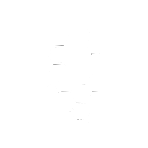 CCOC(=O)CSC1=C/C(=N\S(=O)(=O)Cc2ccc(Cl)cc2)c2ccccc2C1=O